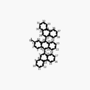 Ic1ccc2c(-c3cc4ccccc4c4ccccc34)c3ccccc3c(-c3cc4ccccc4c4ccccc34)c2c1